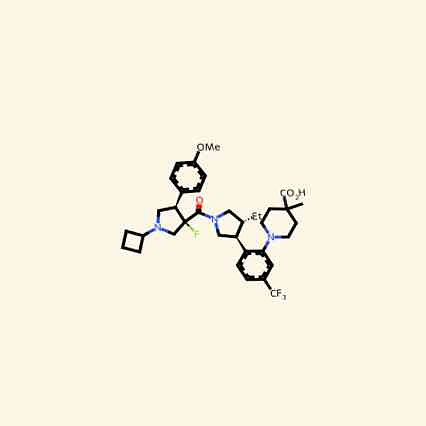 CC[C@H]1CN(C(=O)[C@]2(F)CN(C3CCC3)C[C@H]2c2ccc(OC)cc2)C[C@@H]1c1ccc(C(F)(F)F)cc1N1CCC(C)(C(=O)O)CC1